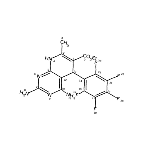 CCOC(=O)C1=C(C)Nc2nc(N)nc(N)c2C1c1c(F)c(F)c(F)c(F)c1F